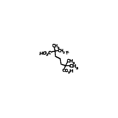 CC(C)(CCCC(C)(C)C(=O)O)C(=O)O.[Y]